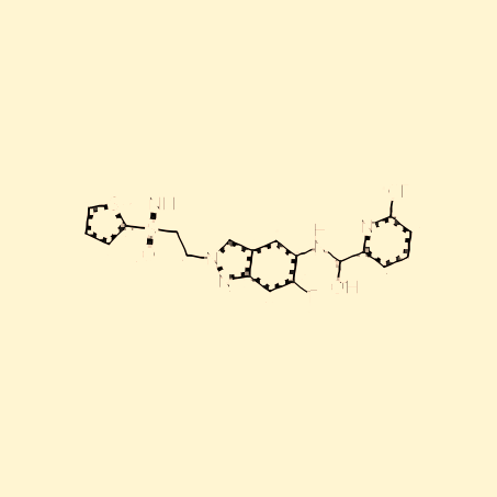 N=S(=O)(CCn1cc2cc(NC(O)c3cccc(C(F)(F)F)n3)c(F)cc2n1)c1cccs1